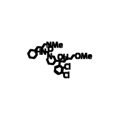 CNCC(CC1CCCCC1)NC(=O)N1CCCC(C(O)(CCCCOC)c2cccc(Cl)c2Cl)C1